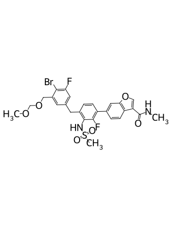 CNC(=O)c1coc2cc(-c3ccc(Cc4cc(F)c(Br)c(COCOC)c4)c(NS(C)(=O)=O)c3F)ccc12